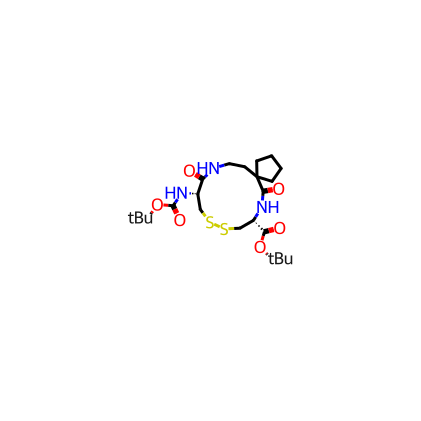 CC(C)(C)OC(=O)N[C@H]1CSSC[C@@H](C(=O)OC(C)(C)C)NC(=O)C2(CCCC2)CCNC1=O